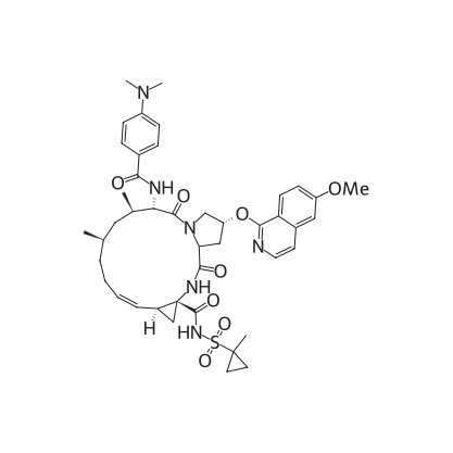 COc1ccc2c(O[C@@H]3CC4C(=O)N[C@]5(C(=O)NS(=O)(=O)C6(C)CC6)C[C@H]5/C=C\CC[C@@H](C)C[C@@H](C)[C@H](NC(=O)c5ccc(N(C)C)cc5)C(=O)N4C3)nccc2c1